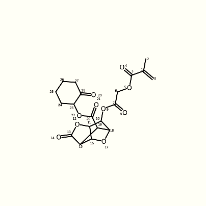 C=C(C)C(=O)OCC(=O)OC1C2OC(=O)C3C2OC1C3C(=O)OC1CCCCC1=O